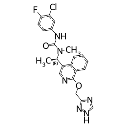 C[C@H](c1cnc(OCc2nc[nH]n2)c2ccccc12)N(C)C(=O)Nc1ccc(F)c(Cl)c1